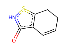 O=c1[nH]sc2c1C=CCC2